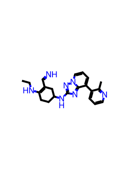 CCNC1=C(C=N)CC(Nc2nc3c(-c4cccnc4C)cccn3n2)CC1